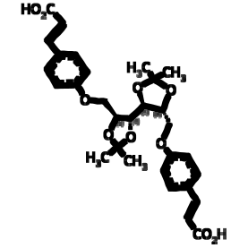 CC1(C)O[C@@H]([C@H]2OC(C)(C)O[C@@H]2COc2ccc(C=CC(=O)O)cc2)[C@H](COc2ccc(C=CC(=O)O)cc2)O1